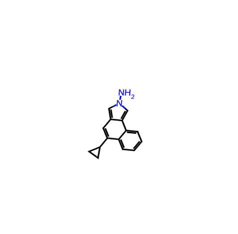 Nn1cc2cc(C3CC3)c3ccccc3c2c1